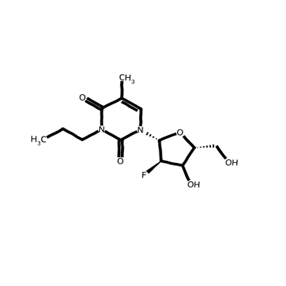 CCCn1c(=O)c(C)cn([C@@H]2O[C@H](CO)C(O)[C@H]2F)c1=O